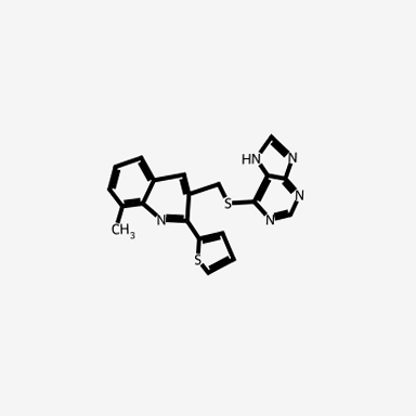 Cc1cccc2cc(CSc3ncnc4nc[nH]c34)c(-c3cccs3)nc12